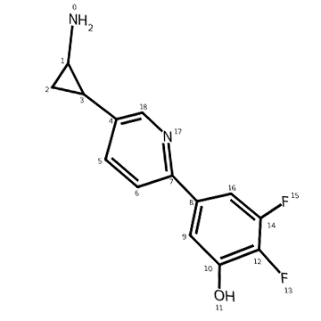 NC1CC1c1ccc(-c2cc(O)c(F)c(F)c2)nc1